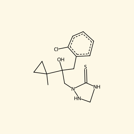 CC1(C(O)(Cc2ccccc2Cl)CN2NCNC2=S)CC1